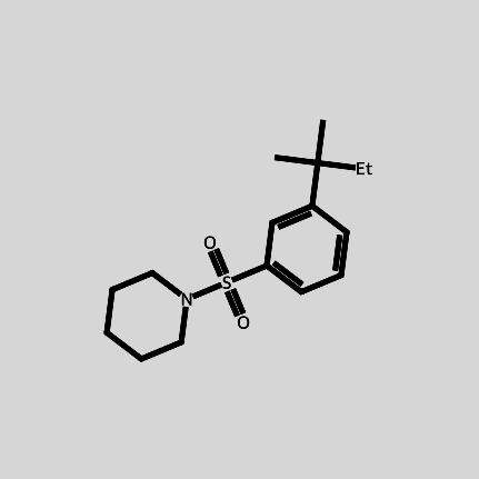 CCC(C)(C)c1cccc(S(=O)(=O)N2CCCCC2)c1